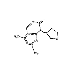 CSc1cc(C)c2c(n1)C(C1CCOC1)C(=O)N=C2